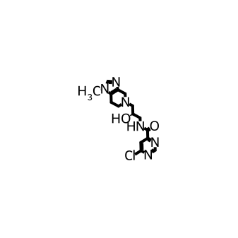 Cn1cnc2c1CCN(C[C@@H](O)CNC(=O)c1cc(Cl)ncn1)C2